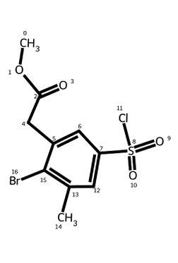 COC(=O)Cc1cc(S(=O)(=O)Cl)cc(C)c1Br